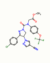 COC(=O)CN(C(=O)N1CC(n2cc(C#N)cn2)C(c2ccc(Cl)cc2)=N1)c1ccc(OC(F)(F)F)cc1